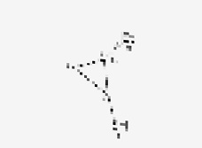 CC[C@H]1CC1S